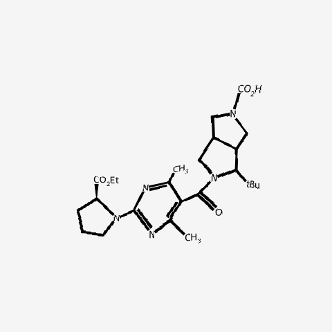 CCOC(=O)[C@@H]1CCCN1c1nc(C)c(C(=O)N2CC3CN(C(=O)O)CC3C2C(C)(C)C)c(C)n1